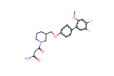 COc1cc(F)c(F)cc1-c1ccc(OCC2CCCN(C(=O)CC(N)=O)C2)cc1